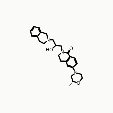 C[C@@H]1CN(c2ccc3c(c2)CCN(CC(O)CN2CCc4ccccc4C2)C3=O)CCO1